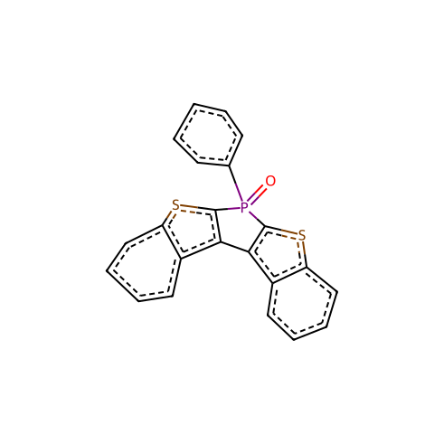 O=P1(c2ccccc2)c2sc3ccccc3c2-c2c1sc1ccccc21